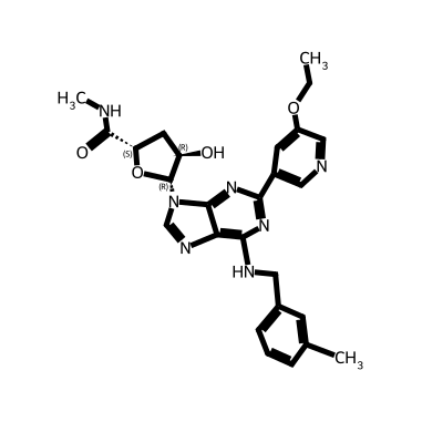 CCOc1cncc(-c2nc(NCc3cccc(C)c3)c3ncn([C@@H]4O[C@H](C(=O)NC)C[C@H]4O)c3n2)c1